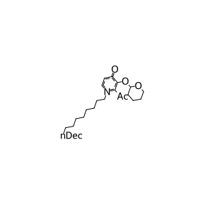 CCCCCCCCCCCCCCCCCCn1ccc(=O)c(OC2CCCCO2)c1C(C)=O